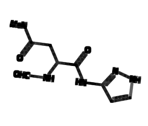 CNC(=O)CC(NC=O)C(=O)Nc1cc[nH]n1